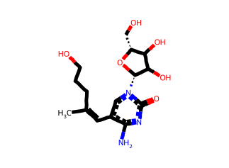 CC(=Cc1cn([C@@H]2O[C@H](CO)C(O)C2O)c(=O)nc1N)CCCO